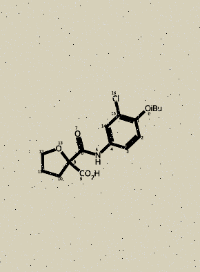 CC(C)COc1ccc(NC(=O)C2(C(=O)O)CCCO2)cc1Cl